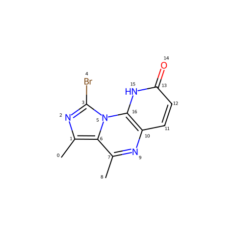 Cc1nc(Br)n2c1c(C)nc1ccc(=O)[nH]c12